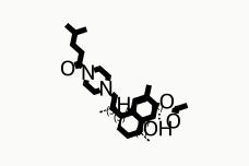 CC(=O)O[C@@H]1[C][C@@]2(O)[C@H](C)CC[C@@H]([C@H](C)CN3CCN(C(=O)CCC(C)C)CC3)[C@H]2C=C1C